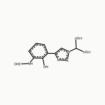 CCCCCCCCC(CCCCCCCC)n1cc(-c2cccc(NC=O)c2O)nn1